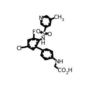 Cc1cncc(S(=O)(=O)Nc2c(F)cc(Cl)cc2-c2ccc(NCC(=O)O)cc2)c1